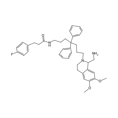 COc1cc2c(cc1OC)C(CN)N(CCCC(CCCNC(=O)CCc1ccc(F)cc1)(c1ccccc1)c1ccccc1)CC2